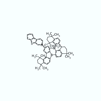 CC1(C)CCC(C)(C)c2c1ccc1c2-c2cc(-c3ccc4c(c3)sc3ccccc34)cc3c2B1c1ccc2c4c1N3c1c(ccc3c1C(C)(C)CCC3(C)C)C4(C)CCC2(C)C